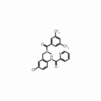 CN(Cc1cc(Cl)ccc1NC(=O)c1ccccn1)C(=O)c1cc(C(F)(F)F)cc(C(F)(F)F)c1